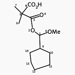 COC(OC(=O)C(C)(C)C(=O)O)C1CCCCC1